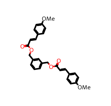 COc1ccc(C=CC(=O)OCc2cccc(COC(=O)C=Cc3ccc(OC)cc3)c2)cc1